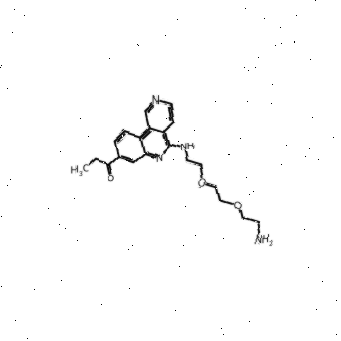 CCC(=O)c1ccc2c(c1)nc(NCCOCCOCCN)c1ccncc12